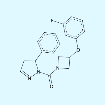 O=C(N1CC(Oc2cccc(F)c2)C1)N1N=CCC1c1ccccc1